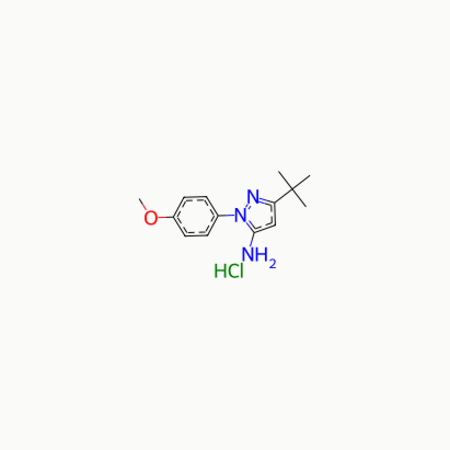 COc1ccc(-n2nc(C(C)(C)C)cc2N)cc1.Cl